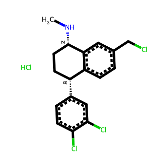 CN[C@H]1CC[C@@H](c2ccc(Cl)c(Cl)c2)c2ccc(CCl)cc21.Cl